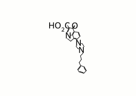 O=C(O)c1cn2c3c(c(N4CCN(CCCCc5ccccc5)CC4)ccc3c1=O)CC2